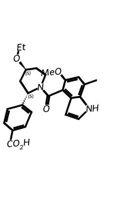 CCO[C@H]1CCN(C(=O)c2c(OC)cc(C)c3[nH]ccc23)[C@H](c2ccc(C(=O)O)cc2)C1